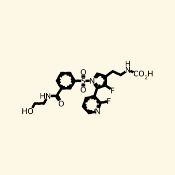 O=C(O)NCCc1cn(S(=O)(=O)c2cccc(C(=O)NCCO)c2)c(-c2cccnc2F)c1F